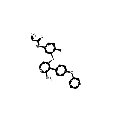 C=CC(=O)Nc1ccc(F)c(Oc2ccnc(N)c2-c2ccc(Oc3ccccc3)cc2)c1